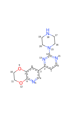 c1cc(-c2cnc3c(c2)OCCO3)nc(N2CCNCC2)n1